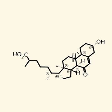 CC(CCC[C@@H](C)[C@H]1CC[C@H]2[C@@H]3C(=O)C=C4C[C@@H](O)CC[C@]4(C)[C@H]3CC[C@]12C)C(=O)O